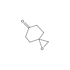 O=C1CCC2(CC1)CO2